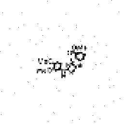 COC(=O)c1ccccc1Oc1nc(Nc2ccc(OC)c(OC)c2)ncc1Br